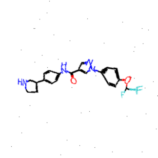 O=C(Nc1ccc(C2CCNC2)cc1)c1cnn(-c2ccc(OC(F)F)cc2)c1